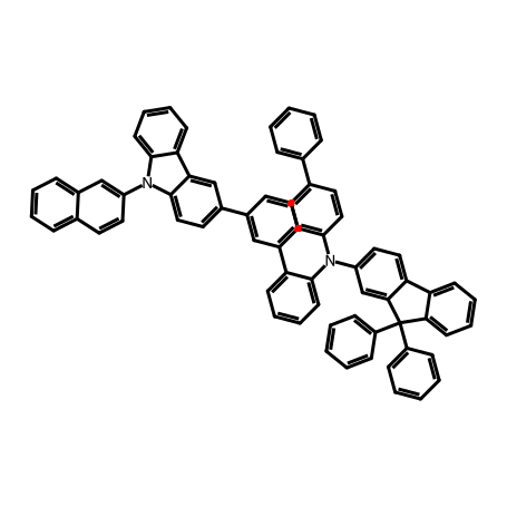 c1ccc(-c2ccc(N(c3ccc4c(c3)C(c3ccccc3)(c3ccccc3)c3ccccc3-4)c3ccccc3-c3cccc(-c4ccc5c(c4)c4ccccc4n5-c4ccc5ccccc5c4)c3)cc2)cc1